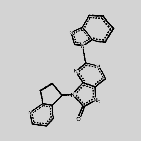 O=c1[nH]c2cnc(-n3cnc4ccccc43)nc2n1C1CCc2ncccc21